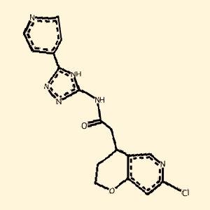 O=C(CC1CCOc2cc(Cl)ncc21)Nc1nnc(-c2ccncc2)[nH]1